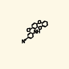 N#Cc1ccc(Nc2c(Cl)ccc3c2Oc2ccccc2O3)cc1